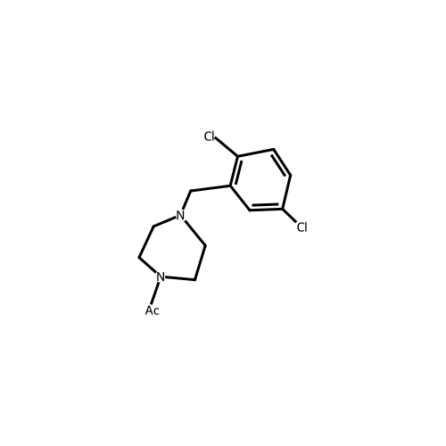 CC(=O)N1CCN(Cc2cc(Cl)ccc2Cl)CC1